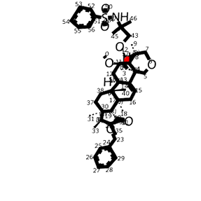 CO[C@@H]1C[C@@]23COC[C@@](C)([C@@H]2CC[C@H]2C3=CC[C@@]3(C)[C@H](C(=O)OCc4ccccc4)[C@@](C)([C@H](C)C(C)C)CC[C@]23C)[C@H]1OCC(C)(C)NS(=O)(=O)c1ccccc1